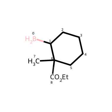 BC1CCCCC1(C)C(=O)OCC